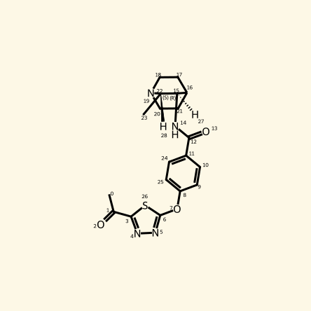 CC(=O)c1nnc(Oc2ccc(C(=O)N[C@@H]3C4CCN(CC4)[C@H]3C)cc2)s1